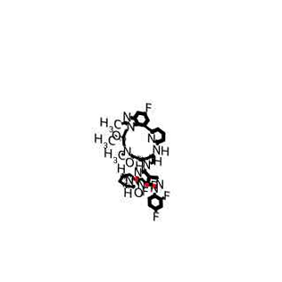 CO[C@H]1CN(C)C(=O)[C@@H]2C[C@@H](CN2c2nc(N3[C@@H]4C[C@H]3C(=O)N(CC(F)F)C4)nc3c2cnn3-c2ccc(F)cc2F)Nc2cccc(n2)-c2cc(F)cc3nc(C)n(c23)C1